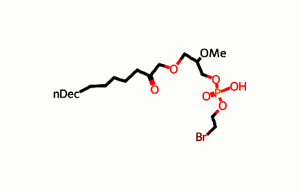 CCCCCCCCCCCCCCCC(=O)COCC(COP(=O)(O)OCCBr)OC